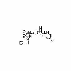 CSc1c(Cl)nc(-c2ccc(NC(=O)Nc3ccc(Cl)nc3)cc2)nc1NCCO